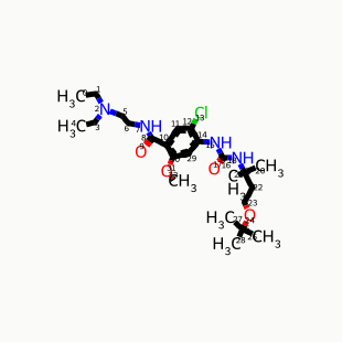 CCN(CC)CCNC(=O)c1cc(Cl)c(NC(=O)NC(C)(C)CCOC(C)(C)C)cc1OC